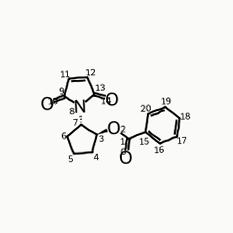 O=C(O[C@H]1CCC[C@@H]1N1C(=O)C=CC1=O)c1ccccc1